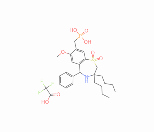 CCCCC1(CCCC)CS(=O)(=O)c2cc(CP(=O)(O)O)c(OC)cc2C(c2ccccc2)N1.O=C(O)C(F)(F)F